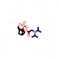 CC(C)N(CC(=O)OC1C2CC3C1OS(=O)(=O)C3C2)C(C)C